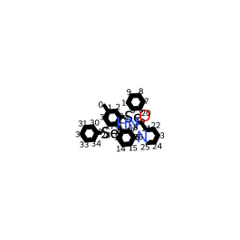 Cc1cc([Se]c2ccccc2)c(-c2ccccc2NC(=O)c2ccccn2)c([Se]c2ccccc2)c1